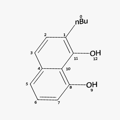 CCCCc1ccc2cccc(O)c2c1O